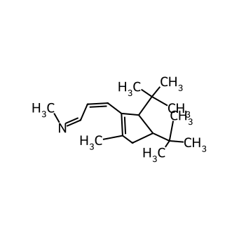 C/N=C\C=C/C1=C(C)CC(C(C)(C)C)C1C(C)(C)C